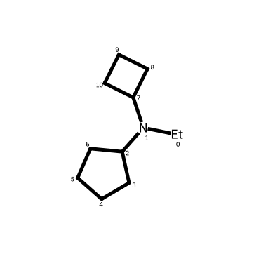 [CH2]CN(C1CCCC1)C1CCC1